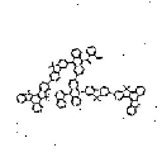 C=Cc1ccccc1C(=C)c1c2ccccc2c(-c2ccc3c(c2)-c2ccc(-c4ccc5c(c4)C(C)(C)c4c-5c5sc6ccccc6c5c5ccccc45)cc2C3(C)C)c2cc(-c3ccc4c(-c5cccc6ccccc56)c5ccccc5c(-c5ccc6c(c5)C(C)(C)c5cc(-c7ccc8c(c7)C(C)(C)c7c-8c8c9ccccc9sc8c8ccccc78)ccc5-6)c4c3)ccc12